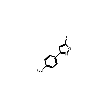 CCc1cc(-c2ccc(C(C)(C)C)cc2)no1